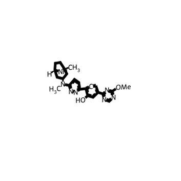 COc1ncnc(-c2ccc(-c3ccc(N(C)[C@H]4C[C@@H]5CC[C@](C)(C4)N5)nn3)c(O)c2)n1